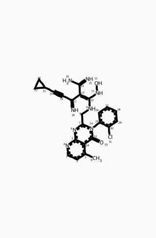 Cc1ccnc2nc(CN/C(NO)=C(/C(=N)N)C(=N)C#CC3CC3)n(-c3ccccc3Cl)c(=O)c12